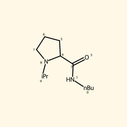 CCCCNC(=O)C1CCCN1C(C)C